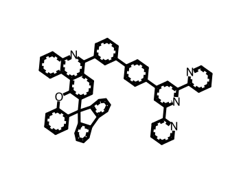 c1ccc(-c2cc(-c3ccc(-c4cccc(-c5nc6ccccc6c6c7c(ccc56)C5(c6ccccc6O7)c6ccccc6-c6ccccc65)c4)cc3)cc(-c3ccccn3)n2)nc1